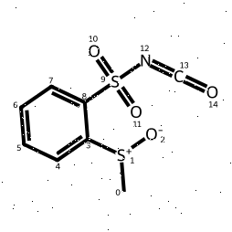 C[S+]([O-])c1ccccc1S(=O)(=O)N=C=O